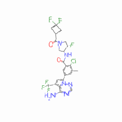 Cc1cc(-c2cc(C(F)(F)F)c3c(N)ncnn23)cc(C(=O)N[C@@H]2CN(C(=O)C3CC(F)(F)C3)C[C@@H]2F)c1Cl